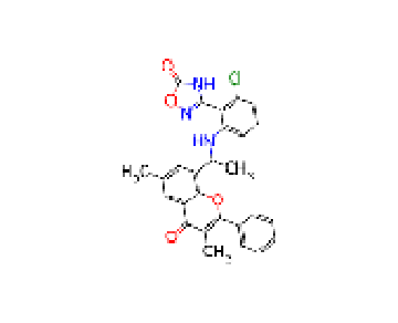 Cc1cc(C(C)Nc2cccc(Cl)c2-c2noc(=O)[nH]2)c2oc(-c3ccccc3)c(C)c(=O)c2c1